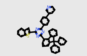 c1ccc(C2(c3ccccc3)c3ccccc3-c3c(-c4nc(-c5ccc(-c6cccnc6)cc5)nc(-c5cc6ccccc6s5)n4)cccc32)cc1